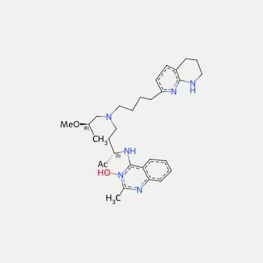 CO[C@H](C)CN(CCCCc1ccc2c(n1)NCCC2)CC[C@H](Nc1c2ccccc2nc(C)[n+]1O)C(C)=O